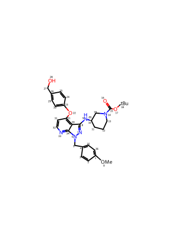 COc1ccc(Cn2nc(N[C@@H]3CCCN(C(=O)OC(C)(C)C)C3)c3c(Oc4ccc(CO)cc4)ccnc32)cc1